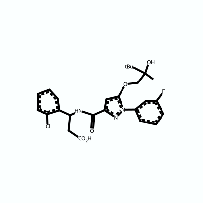 CC(C)(C)C(C)(O)COc1cc(C(=O)NC(CC(=O)O)c2ccccc2Cl)nn1-c1cccc(F)c1